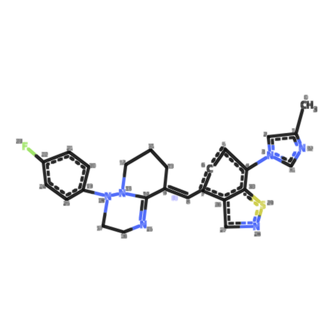 Cc1cn(-c2ccc(/C=C3\CCCN4C3=NCCN4c3ccc(F)cc3)c3cnsc23)cn1